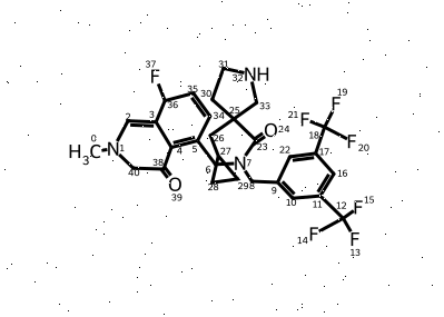 CN1C=C2C(=C(CN(Cc3cc(C(F)(F)F)cc(C(F)(F)F)c3)C(=O)C3(CC4CC4)CCNC3)C=CC2F)C(=O)C1